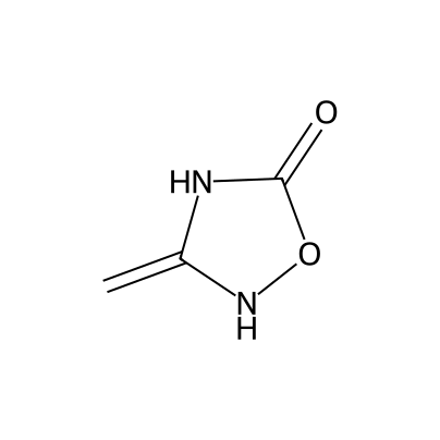 C=C1NOC(=O)N1